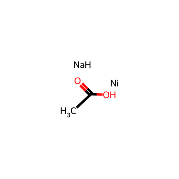 CC(=O)O.[NaH].[Ni]